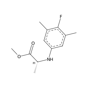 COC(=O)[C@@H](C)Nc1cc(C)c(F)c(C)c1